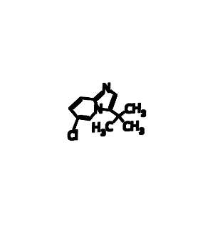 CC(C)(C)c1cnc2ccc(Cl)cn12